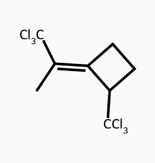 CC(=C1CCC1C(Cl)(Cl)Cl)C(Cl)(Cl)Cl